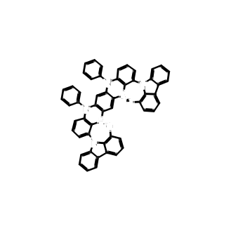 c1ccc(N2c3cc4c(cc3B3Oc5cccc6c7ccccc7n(c56)-c5cccc2c53)B2Oc3cccc5c6ccccc6n(c35)-c3cccc(c32)N4c2ccccc2)cc1